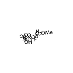 COc1ccc2c(Oc3ccc(NC(=O)c4c(C)n([C@H](C)[C@@H](C)O)n(-c5ccccc5)c4=O)cc3F)ccnc2c1